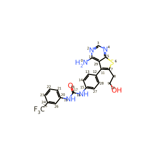 Nc1ncnc2sc(CCO)c(-c3ccc(NC(=O)Nc4cccc(C(F)(F)F)c4)cc3)c12